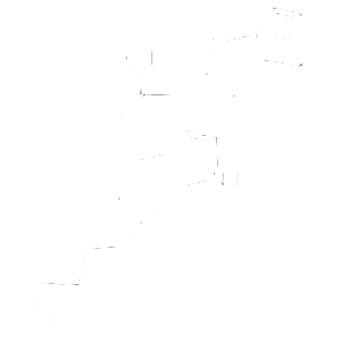 CCCCOc1ccc2c(CC(=O)O)c(Cc3csc4c3C3CC(=C4)C3Cl)[nH]c2c1